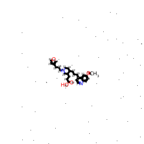 COc1ccc2nccc(CCCC3CCN(CCCc4ccoc4)CC3CCC(=O)O)c2c1